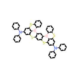 c1ccc(N(c2ccccc2)c2cc3c4c(c2)Sc2cc5c(cc2B4c2ccccc2S3)B2c3ccccc3Sc3cc(N(c4ccccc4)c4ccccc4)cc(c32)S5)cc1